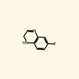 Fc1ccc2c(c1)N=CCN2